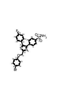 NS(=O)(=O)c1ccc(-c2nc(COc3ccc(Br)cc3)sc2-c2ccc(F)cc2)cc1